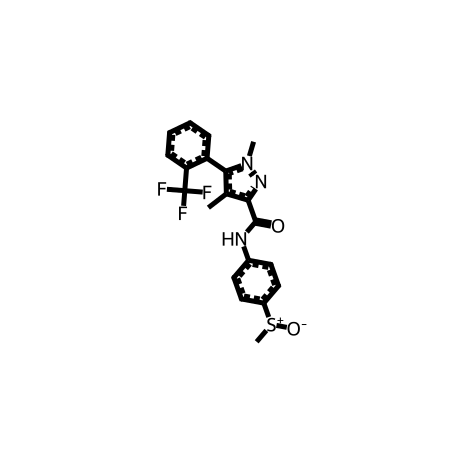 Cc1c(C(=O)Nc2ccc([S+](C)[O-])cc2)nn(C)c1-c1ccccc1C(F)(F)F